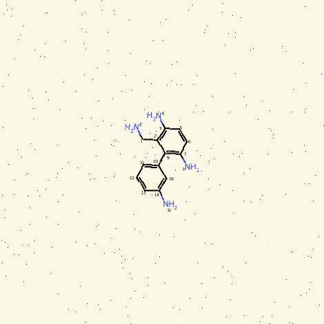 NCc1c(N)ccc(N)c1-c1cccc(N)c1